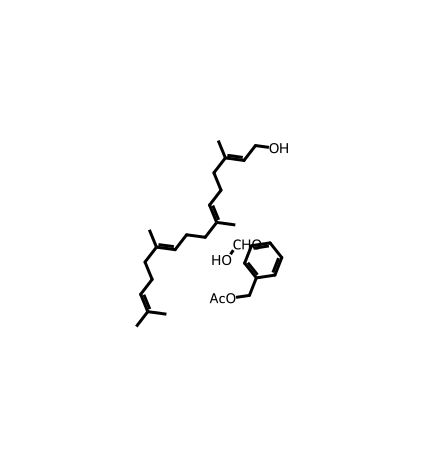 CC(=O)OCc1ccccc1.CC(C)=CCCC(C)=CCCC(C)=CCCC(C)=CCO.O=CO